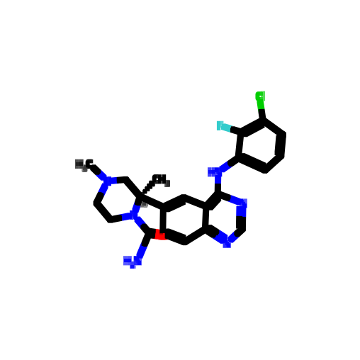 CN1CCN(C(N)=O)[C@](C)(c2ccc3ncnc(Nc4cccc(Cl)c4F)c3c2)C1